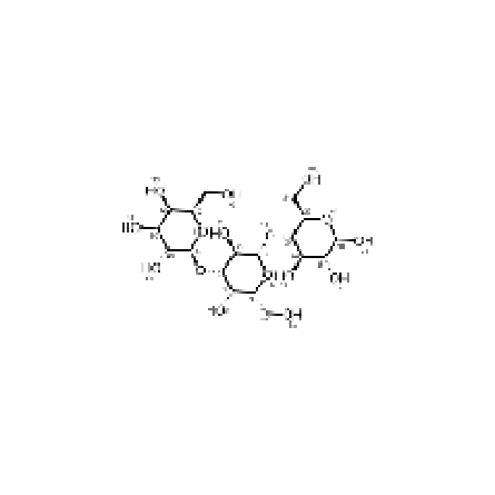 OC[C@H]1O[C@@H](O[C@H]2[C@@H](O)[C@@H](CO)O[C@@H](O[C@H]3[C@H](O)[C@@H](O)C(O)O[C@@H]3CO)[C@@H]2O)[C@H](O)[C@@H](O)[C@H]1O